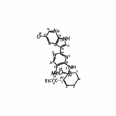 CCOC(=O)[C@H]1CCCC[C@]1(Nc1nc(-c2c[nH]c3ncc(Cl)cc23)ncc1F)OC